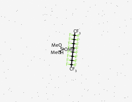 CO[SiH](OC)OC.FC(F)(F)C(F)(F)C(F)(F)C(F)(F)C(F)(F)C(F)(F)C(F)(F)C(F)(F)C(F)(F)C(F)(F)F